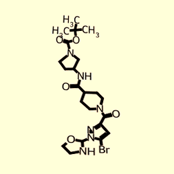 CC(C)(C)OC(=O)N1CCC(NC(=O)C2CCN(C(=O)c3cc(Br)n(C4NCCO4)n3)CC2)C1